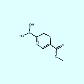 COC(=O)C1=CC=C(B(O)O)CC1